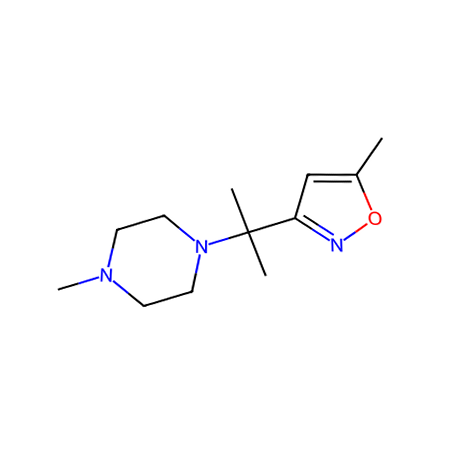 Cc1cc(C(C)(C)N2CCN(C)CC2)no1